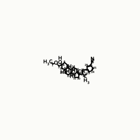 CCOC[C@@]1(O)CC[C@H]2[C@H](CC[C@@H]3[C@@H]2CC[C@]2(C)C([C@@H](C)Cc4cccc(C#N)c4)CC[C@@H]32)C1